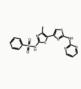 Cc1nc(NS(=O)(=O)c2ccccc2)sc1-c1csc(Nc2ncccn2)n1